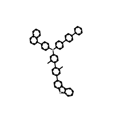 Cc1cc(-c2ccc3oc4ccccc4c3c2)ccc1-c1ccc(N(c2ccc(-c3ccc(-c4ccccc4)cc3)cc2)c2ccc(-c3cccc4ccccc34)cc2)cc1C